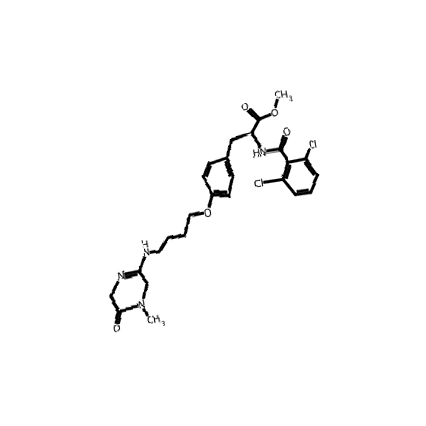 COC(=O)[C@H](Cc1ccc(OCCCCNC2=NCC(=O)N(C)C2)cc1)NC(=O)c1c(Cl)cccc1Cl